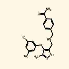 Cc1n[nH]c(CNCc2ccc(C(N)=O)cc2)c1Oc1cc(C#N)cc(C#N)c1